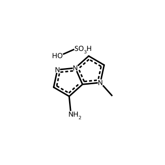 Cn1ccn2ncc(N)c12.O=S(=O)(O)O